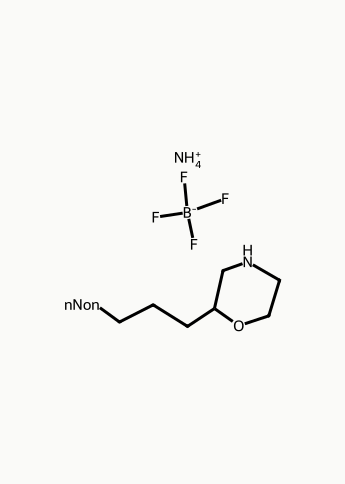 CCCCCCCCCCCCC1CNCCO1.F[B-](F)(F)F.[NH4+]